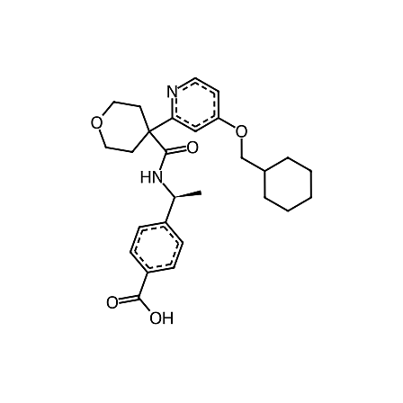 C[C@H](NC(=O)C1(c2cc(OCC3CCCCC3)ccn2)CCOCC1)c1ccc(C(=O)O)cc1